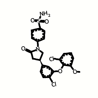 COc1cccc(Cl)c1Oc1cc([C@H]2CC(=O)N(c3ccc(S(N)(=O)=O)cc3)C2)ccc1Cl